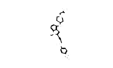 NC(=O)CN1CCC(Nc2cccc3c2cc(C#CCNc2ccc(S(N)(=O)=O)cc2)n3CC(F)(F)F)CC1